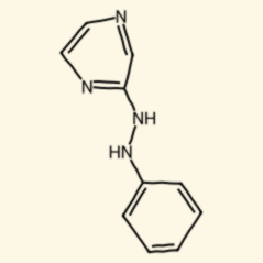 c1ccc(NNc2cnccn2)cc1